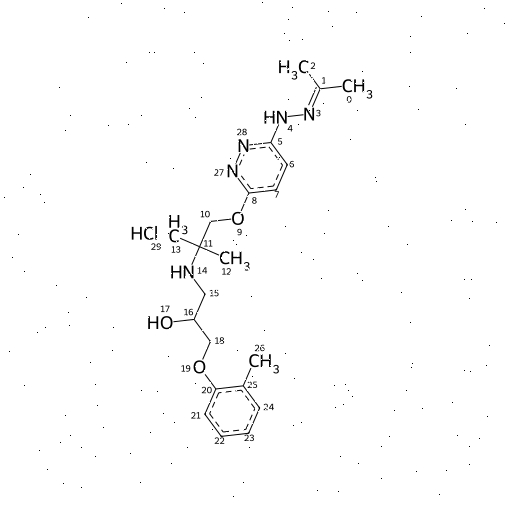 CC(C)=NNc1ccc(OCC(C)(C)NCC(O)COc2ccccc2C)nn1.Cl